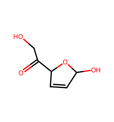 O=C(CO)C1C=CC(O)O1